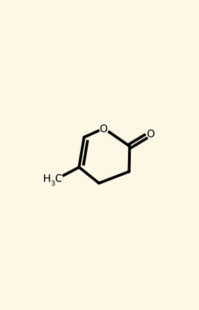 CC1=COC(=O)CC1